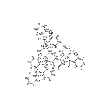 CC1(C)c2ccccc2Oc2cccc(-c3cccc4c(-c5c6ccccc6c(-c6ccccc6)c6ccccc56)c5cccc(-c6cccc7c6C(C)(C)c6ccccc6O7)c5cc34)c21